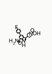 NC(=O)c1cc(-c2ccc(F)cc2)cc2c(C3CCN(C(=O)O)CC3)c[nH]c12